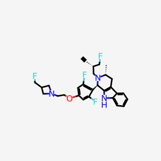 C#C[C@H](CF)CN1[C@H](c2c(F)cc(OCCN3CC(CF)C3)cc2F)c2[nH]c3ccccc3c2C[C@H]1C